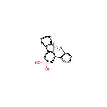 O=[N+]([O-])c1ccccc1-c1cccc2c1[nH]c1ccccc12.OBO